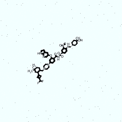 CC1(C)CCC(CN2CCN(c3ccc(C(=O)NS(=O)(=O)c4ccc(NC[C@H]5CC[C@](C)(O)CC5)c([N+](=O)[O-])c4)c(Oc4cnc5[nH]ccc5c4)c3)CC2)=C(C23CC(C(F)F)(C2)C3)C1